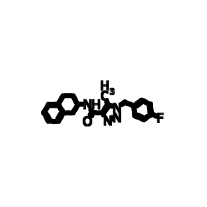 Cc1c(C(=O)NC2CCc3ccccc3C2)nnn1Cc1ccc(F)cc1